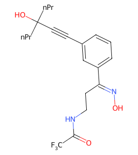 CCCC(O)(C#Cc1cccc(/C(CCNC(=O)C(F)(F)F)=N/O)c1)CCC